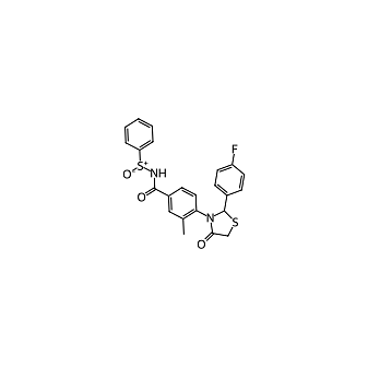 Cc1cc(C(=O)N[S+]([O-])c2ccccc2)ccc1N1C(=O)CSC1c1ccc(F)cc1